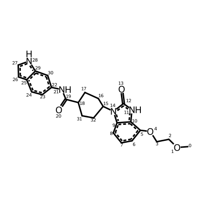 COCCOc1cccc2c1[nH]c(=O)n2C1CCC(C(=O)Nc2ccc3cc[nH]c3c2)CC1